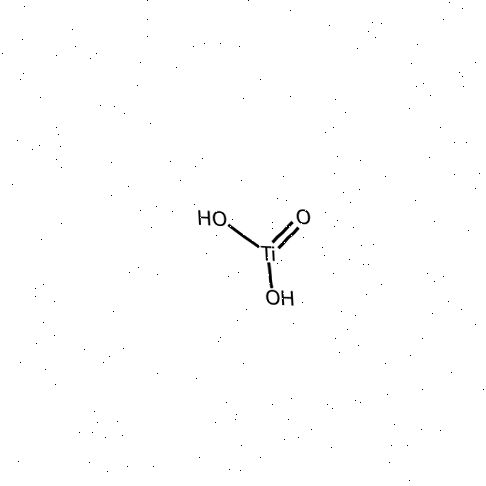 [O]=[Ti]([OH])[OH]